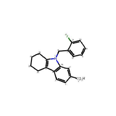 O=C(O)c1ccc2c3c(n(Cc4ccccc4F)c2c1)CCCC3